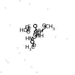 COc1ccc2[nH]cc(CC(=O)N[C@@H](CCCCCC(C)=O)c3ncc(-c4ccccc4)[nH]3)c2c1.O=C(O)C(F)(F)F